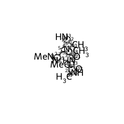 CNc1cc(-c2ccn3c(C(C)C4CCNCC4)c(C)c(C(=O)NCc4c(OC)cc(C)[nH]c4=O)cc23)ccn1